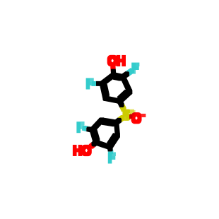 [O-][S+](c1cc(F)c(O)c(F)c1)c1cc(F)c(O)c(F)c1